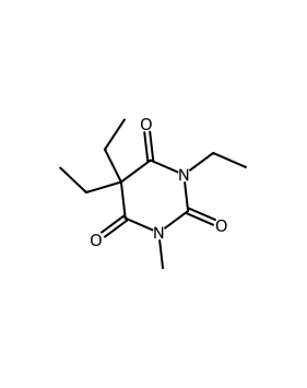 CCN1C(=O)N(C)C(=O)C(CC)(CC)C1=O